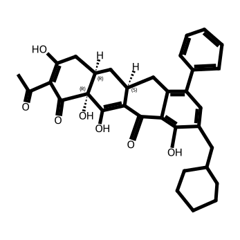 CC(=O)C1=C(O)C[C@H]2C[C@H]3Cc4c(-c5ccccc5)cc(CC5CCCCC5)c(O)c4C(=O)C3=C(O)[C@@]2(O)C1=O